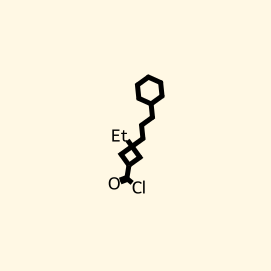 CCC1(CCCC2CCCCC2)CC(C(=O)Cl)C1